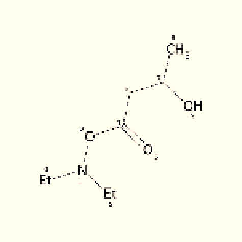 CCN(CC)OC(=O)CC(C)O